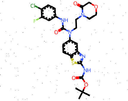 CC(C)(C)OC(=O)Nc1nc2cc(N(CCN3CCOCC3=O)C(=O)Nc3ccc(Cl)c(F)c3)ccc2s1